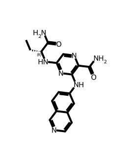 CC[C@@H](Nc1cnc(C(N)=O)c(Nc2ccc3cnccc3c2)n1)C(N)=O